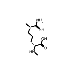 CN[C@H](CCCN(C)C(=N)N)C(=O)O